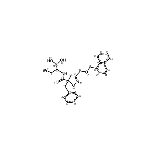 CC(C)CC(NC(=O)C1(Cc2ccccc2)CC(COCc2nccc3ccccc23)=NO1)B(O)O